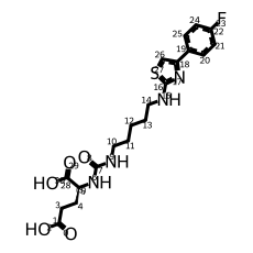 O=C(O)CC[C@H](NC(=O)NCCCCCNc1nc(-c2ccc(F)cc2)cs1)C(=O)O